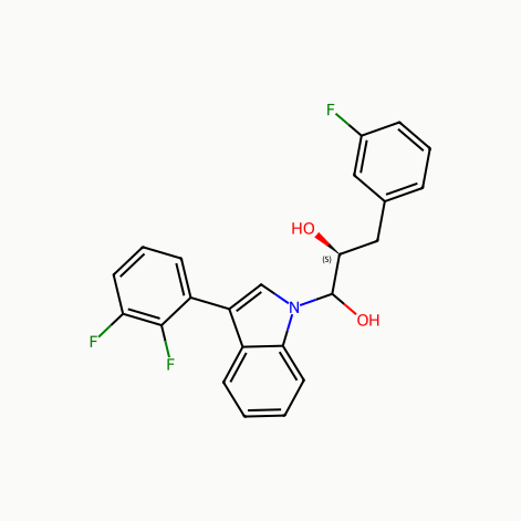 OC([C@@H](O)Cc1cccc(F)c1)n1cc(-c2cccc(F)c2F)c2ccccc21